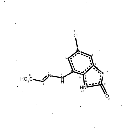 O=C(O)C=NNc1cc(Cl)cc2sc(=O)[nH]c12